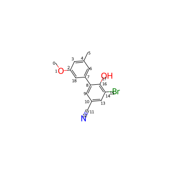 COc1cc(C)cc(-c2cc(C#N)cc(Br)c2O)c1